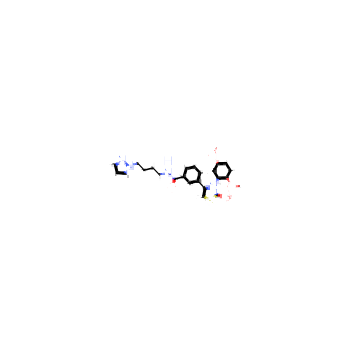 COc1ccc(OC)c(-n2c(-c3cccc(C(=O)NCCCCn4cccn4)c3)csc2=O)c1